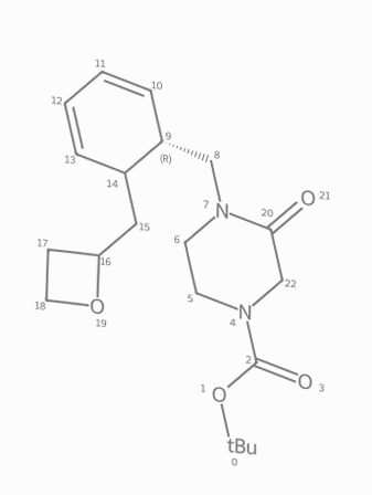 CC(C)(C)OC(=O)N1CCN(C[C@H]2C=CC=CC2CC2CCO2)C(=O)C1